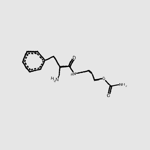 NC(=O)OCCNC(=O)C(N)Cc1ccccc1